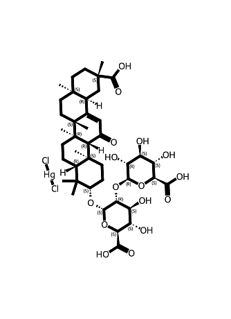 CC1(C)[C@@H](O[C@H]2O[C@H](C(=O)O)[C@@H](O)[C@H](O)[C@H]2O[C@@H]2O[C@H](C(=O)O)[C@@H](O)[C@H](O)[C@H]2O)CC[C@]2(C)[C@H]3C(=O)C=C4[C@@H]5C[C@@](C)(C(=O)O)CC[C@]5(C)CC[C@@]4(C)[C@]3(C)CC[C@@H]12.[Cl][Hg][Cl]